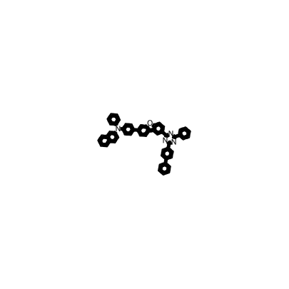 c1ccc(-c2ccc(-c3nc(-c4ccccc4)nc(-c4ccc5oc6cc(-c7ccc(N(c8ccccc8)c8ccc9ccccc9c8)cc7)ccc6c5c4)n3)cc2)cc1